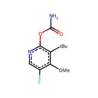 COc1c(F)cnc(OC(N)=O)c1C(C)(C)C